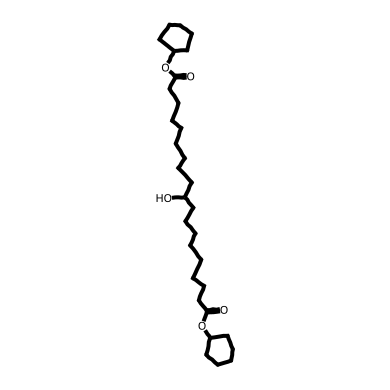 O=C(CCCCCCCCC(O)CCCCCCCCC(=O)OC1CCCCC1)OC1CCCCC1